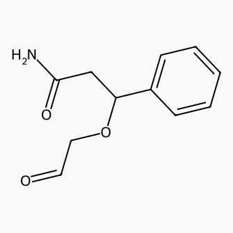 NC(=O)CC(OCC=O)c1ccccc1